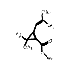 CCCOC(=O)C1C(/C=C(\C)C=O)C1(C)C